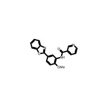 COc1ccc(-c2nc3ccccc3o2)cc1NC(=O)c1cccnc1